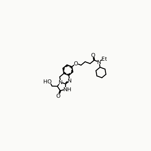 CCN(C(=O)CCCOc1ccc2c(c1)N=C1NC(=O)C(CO)N1C2)C1CCCCC1